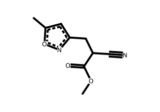 COC(=O)C(C#N)Cc1cc(C)on1